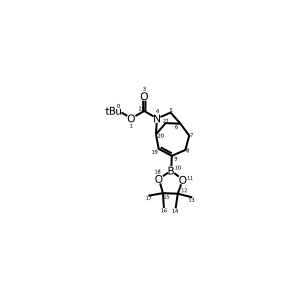 CC(C)(C)OC(=O)N1CC2CCC(B3OC(C)(C)C(C)(C)O3)=CC1C2